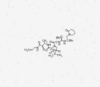 C=CCNC(=O)C(=O)C(C)NC(=O)[C@@H]1[C@@H]2[C@H](CN1C(=O)[C@@H](NC(=O)N[C@H](CN1CCCCC1=O)C(C)(C)C)C(C)(C)C)C2(C)C